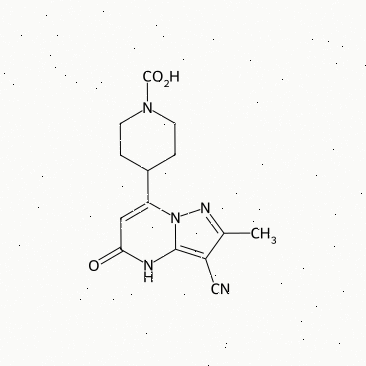 Cc1nn2c(C3CCN(C(=O)O)CC3)cc(=O)[nH]c2c1C#N